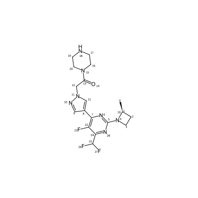 C[C@H]1CCN1c1nc(-c2cnn(CC(=O)N3CCNCC3)c2)c(F)c(C(F)F)n1